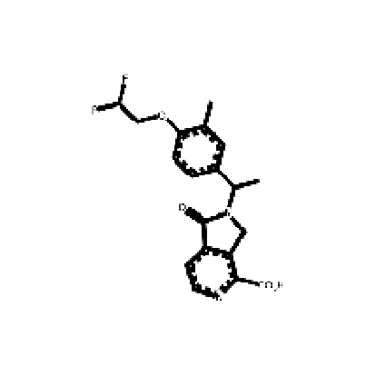 Cc1cc(C(C)N2Cc3c(ccnc3C(=O)O)C2=O)ccc1OCC(F)F